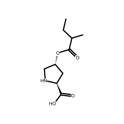 CCC(C)C(=O)O[C@H]1CN[C@H](C(=O)O)C1